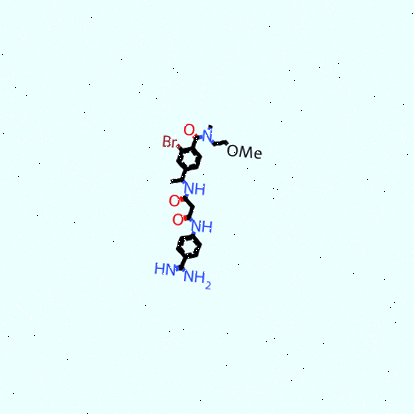 COCCN(C)C(=O)c1ccc(C(C)NC(=O)CC(=O)Nc2ccc(C(=N)N)cc2)cc1Br